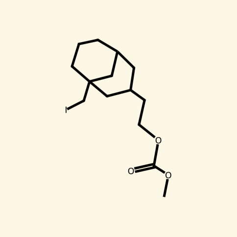 COC(=O)OCCC1CC2CCCC(CI)(C2)C1